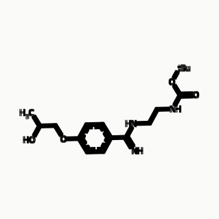 CC(O)COc1ccc(C(=N)NCCNC(=O)OC(C)(C)C)cc1